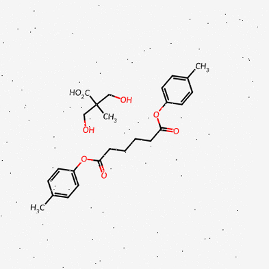 CC(CO)(CO)C(=O)O.Cc1ccc(OC(=O)CCCCC(=O)Oc2ccc(C)cc2)cc1